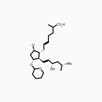 CCCC[C@H](C)C[C@H](O)C=C[C@@H]1[C@@H](CC=CCCC(C)C(=O)O)[C@H](Cl)C[C@H]1OC1CCCCO1